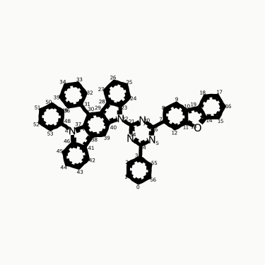 c1ccc(-c2nc(-c3ccc4c(c3)oc3ccccc34)nc(-n3c4ccccc4c4c(-c5ccccc5)c5c(cc43)c3ccccc3n5-c3ccccc3)n2)cc1